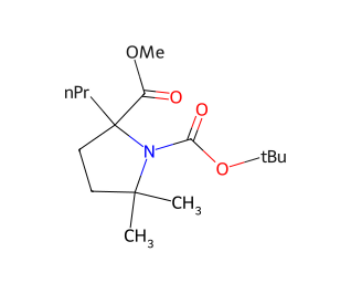 CCCC1(C(=O)OC)CCC(C)(C)N1C(=O)OC(C)(C)C